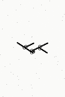 CCCCCCCCCCOC(CCCCCC=CC(OC)OC(C=CCCCCCC(OCCCCCCCCCC)OCCCCCCCCCC)OC)OCCCCCCCCCC